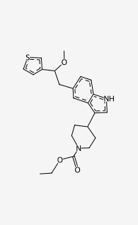 CCOC(=O)N1CCC(c2c[nH]c3ccc(CC(OC)c4ccsc4)cc23)CC1